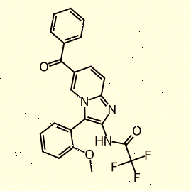 COc1ccccc1-c1c(NC(=O)C(F)(F)F)nc2ccc(C(=O)c3ccccc3)cn12